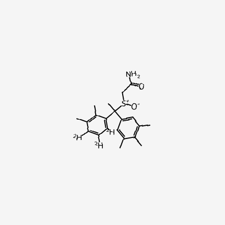 [2H]c1c([2H])c(C)c(C)c(C(C)(c2cc(C)c(C)c(C)c2)[S+]([O-])CC(N)=O)c1[2H]